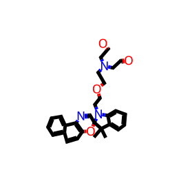 CC1(C)c2ccccc2N(CCOCCN(CC=O)CC=O)C12C=Nc1c(ccc3ccccc13)O2